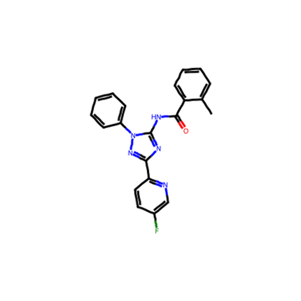 Cc1ccccc1C(=O)Nc1nc(-c2ccc(F)cn2)nn1-c1ccccc1